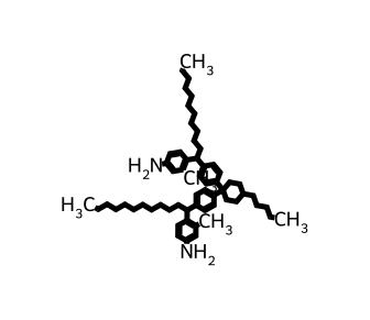 CCCCCCCCCCCC(c1ccc(C2(c3ccc(C(CCCCCCCCCCC)c4ccc(N)cc4C)cc3)CCC(CCCCC)CC2)cc1)c1ccc(N)cc1C